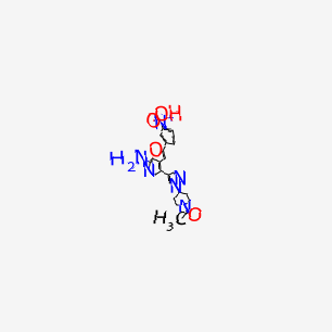 CC(=O)N1CCC(n2cc(-c3cnc(N)c4oc(-c5cccc([N+](=O)O)c5)cc34)cn2)CC1